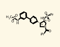 CC(C)C(=O)N1C[C@H](NS(=O)(=O)C(C)C)[C@@H](c2ccc(-c3cccc(NS(C)(=O)=O)c3)cc2)C1